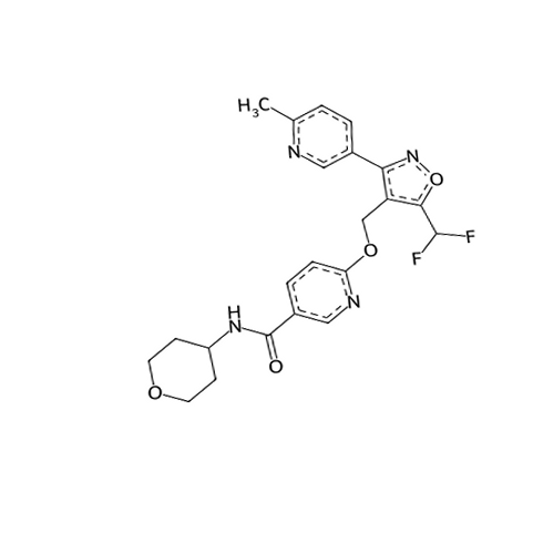 Cc1ccc(-c2noc(C(F)F)c2COc2ccc(C(=O)NC3CCOCC3)cn2)cn1